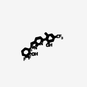 Cc1cc(C(F)(F)F)cc(O)c1-c1ccc2cn([C@@H]3CCCC(F)(F)[C@H]3O)nc2n1